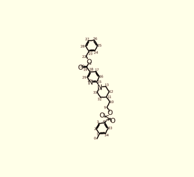 Cc1ccc(S(=O)(=O)OCCC2CCN(c3ccc(C(=O)OCc4ccccc4)cn3)CC2)cc1